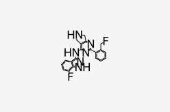 FCc1ccccc1-c1nc2c(c(Nc3n[nH]c4c(F)cccc34)n1)CNC2